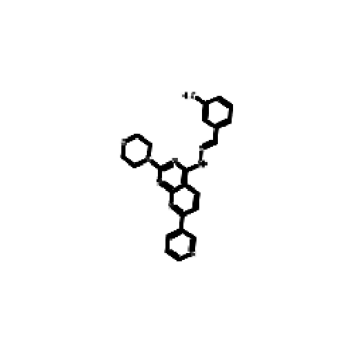 Cc1cccc(C=NNc2nc(N3CCOCC3)nc3nc(-c4cccnc4)ccc23)c1